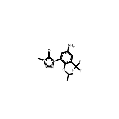 CC(C)Oc1c(-n2nnn(C)c2=O)cc(N)cc1C(F)(F)F